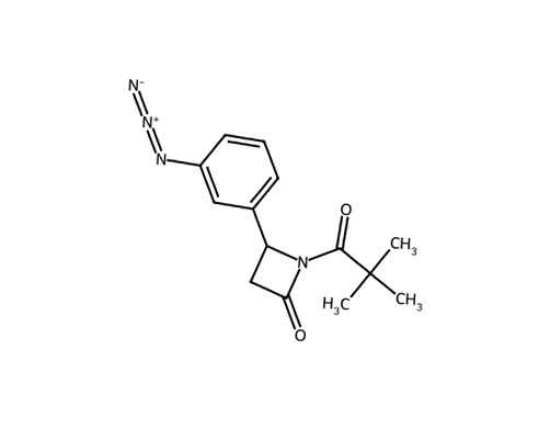 CC(C)(C)C(=O)N1C(=O)CC1c1cccc(N=[N+]=[N-])c1